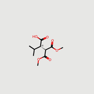 COC(=O)C(C(=O)OC)[C@@H](C(=O)O)C(C)C